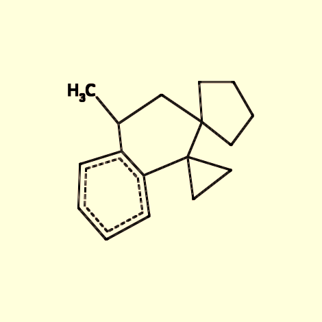 CC1CC2(CCCC2)C2(CC2)c2ccccc21